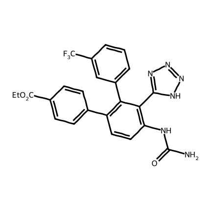 CCOC(=O)c1ccc(-c2ccc(NC(N)=O)c(-c3nnn[nH]3)c2-c2cccc(C(F)(F)F)c2)cc1